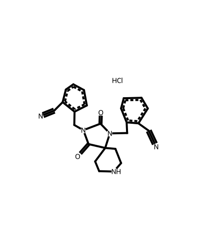 Cl.N#Cc1ccccc1CN1C(=O)N(Cc2ccccc2C#N)C2(CCNCC2)C1=O